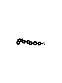 N#CC1CC=C(C2=CC=C(C3=CC4=C(C=C(C5=CC6=C(CC5)C5C7=C(C=CC5O6)CCC=C7)CC4)CC3)CC2)CC1